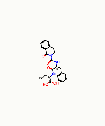 CC(C)C[C@H](NC(=O)[C@H](Cc1ccccc1)NC(=O)N1CCc2ccccc2C1=O)B(O)O